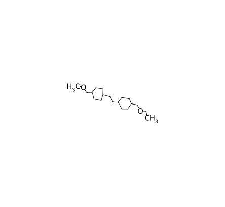 CCOCC1CCC(CCC2CCC(COC)CC2)CC1